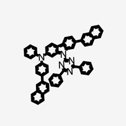 c1ccc(-c2nc(-c3ccccc3)nc(-n3c4cc(-c5ccc6ccccc6c5)ccc4c4ccc(N(c5ccccc5)c5ccc(-c6ccc7ccccc7c6)cc5)cc43)n2)cc1